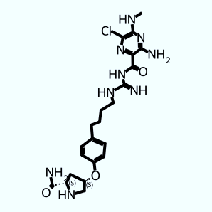 CNc1nc(N)c(C(=O)NC(=N)NCCCCc2ccc(O[C@@H]3CN[C@H](C(N)=O)C3)cc2)nc1Cl